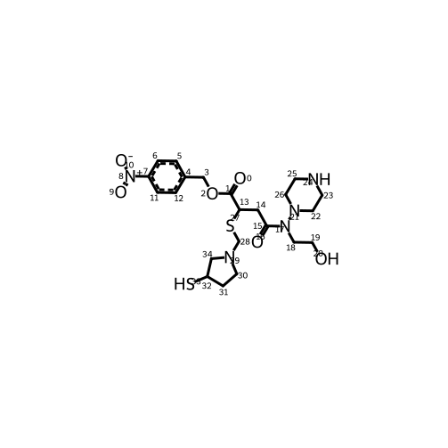 O=C(OCc1ccc([N+](=O)[O-])cc1)C(CC(=O)N(CCO)N1CCNCC1)SCN1CCC(S)C1